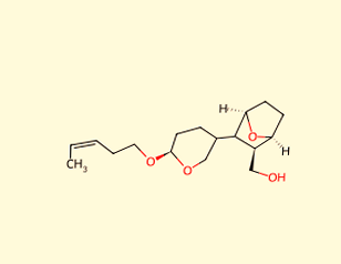 C/C=C\CCO[C@H]1CCC(C2[C@H]3CC[C@H](O3)[C@H]2CO)CO1